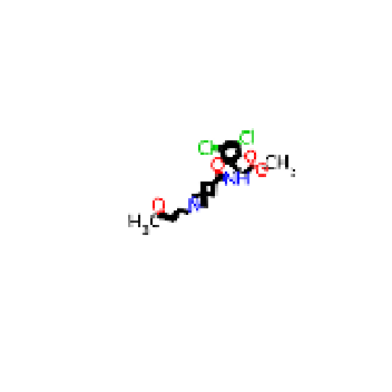 COC(=O)C[C@H](NC(=O)C1CC2(C1)CN(CCCC(C)=O)C2)c1cc(Cl)cc(Cl)c1